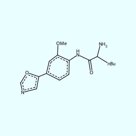 CCCCC(N)C(=O)Nc1ccc(-c2cnco2)cc1OC